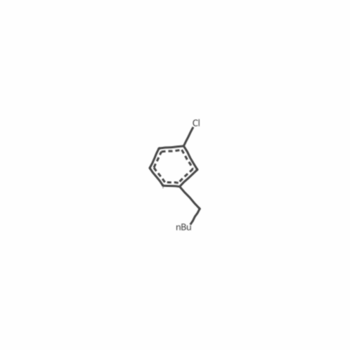 CCCCCc1[c]ccc(Cl)c1